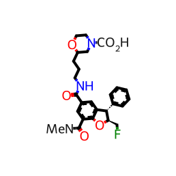 CNC(=O)c1cc(C(=O)NCCCC2CN(C(=O)O)CCO2)cc2c1O[C@H](CF)[C@H]2c1ccccc1